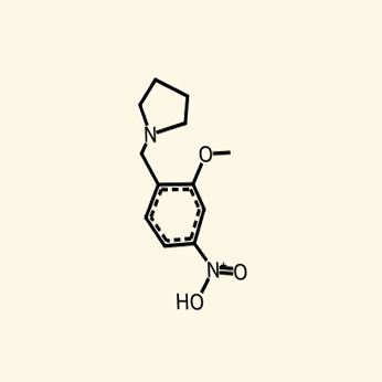 COc1cc([N+](=O)O)ccc1CN1CCCC1